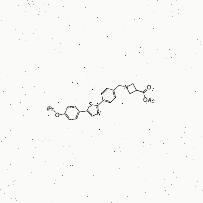 CC(=O)OC(=O)C1CN(Cc2ccc(-c3ncc(-c4ccc(OC(C)C)cc4)s3)cc2)C1